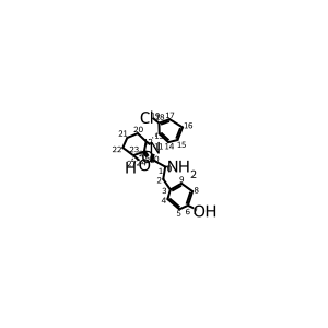 N[C@@H](Cc1ccc(O)cc1)C1=N[C@]2(c3ccccc3Cl)CCC[C@H](O1)C2=O